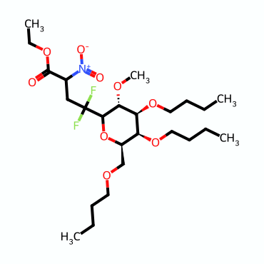 CCCCOC[C@H]1OC(C(F)(F)CC(C(=O)OCC)[N+](=O)[O-])[C@H](OC)[C@@H](OCCCC)[C@H]1OCCCC